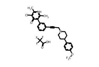 Cc1[nH]c(C)c(-c2cccc(C#CCN3CCC(c4ccc(OC(F)(F)F)cc4)CC3)c2)c(=O)c1Cl.O=C(O)C(F)(F)F